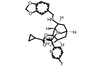 C[C@@H]1C[C@@H]2C[C@H](NCc3ccc4c(c3)OCO4)[C@@H]([C@@H]1OC(=O)C1CC1)N(C(=O)c1ccc(F)cn1)C2